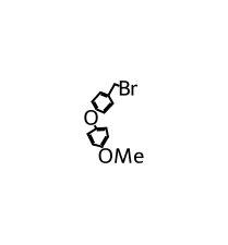 COc1ccc(Oc2ccc(CBr)cc2)cc1